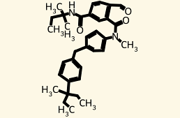 CCC(C)(C)NC(=O)c1ccc(C=O)c(C(=O)N(C)c2ccc(Cc3ccc(C(C)(CC)CC)cc3)cc2)c1